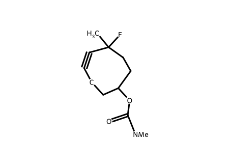 CNC(=O)OC1CCC#CC(C)(F)CC1